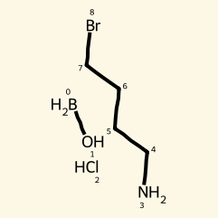 BO.Cl.NCCCCBr